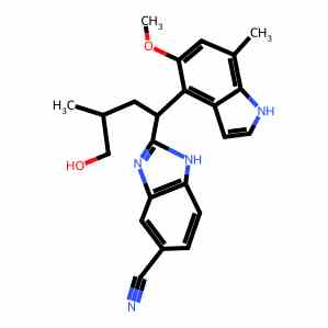 COc1cc(C)c2[nH]ccc2c1C(CC(C)CO)c1nc2cc(C#N)ccc2[nH]1